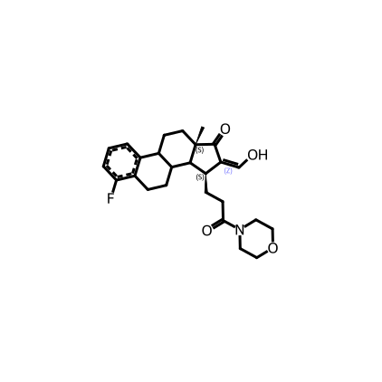 C[C@]12CCC3c4cccc(F)c4CCC3C1[C@H](CCC(=O)N1CCOCC1)/C(=C/O)C2=O